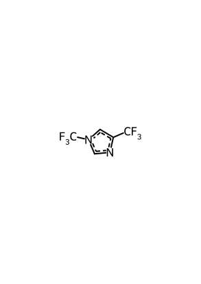 FC(F)(F)c1cn(C(F)(F)F)cn1